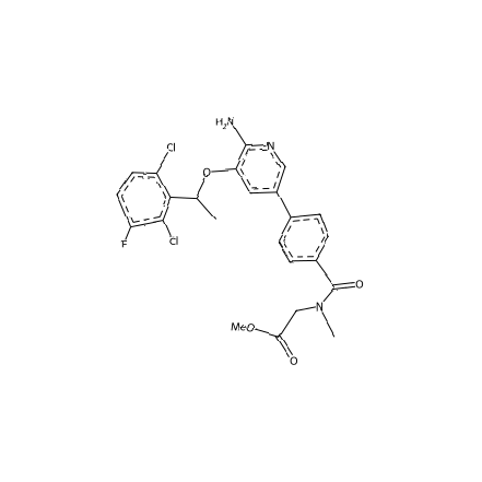 COC(=O)CN(C)C(=O)c1ccc(-c2cnc(N)c(OC(C)c3c(Cl)ccc(F)c3Cl)c2)cc1